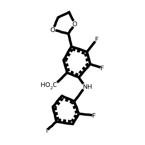 O=C(O)c1cc(C2OCCO2)c(F)c(F)c1Nc1ccc(I)cc1F